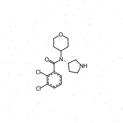 O=C(c1cccc(Cl)c1Cl)N(C1CCOCC1)[C@H]1CCNC1